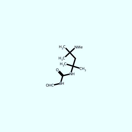 CNC(C)(C)CC(C)(C)NC(=O)BC=O